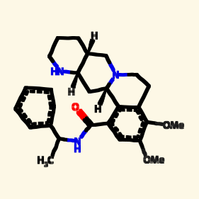 COc1cc(C(=O)NC(C)c2ccccc2)c2c(c1OC)CCN1C[C@H]3CCCN[C@H]3C[C@@H]21